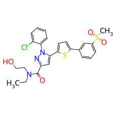 CCN(CCO)C(=O)c1cc(-c2ccc(-c3cccc(S(C)(=O)=O)c3)s2)n(-c2ccccc2Cl)n1